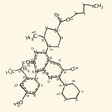 CCCCOC(=O)N1CCN(c2nc(=O)n(-c3ccc(O)cc3C(C)C)c3nc(N4CCCCC4)c(Cl)cc23)C(C)C1